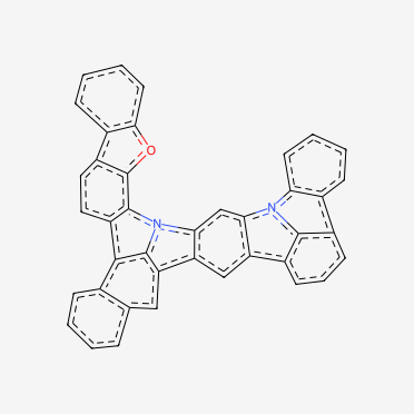 c1ccc2c(c1)cc1c3cc4c5cccc6c7ccccc7n(c4cc3n3c4c(ccc7c8ccccc8oc74)c2c13)c65